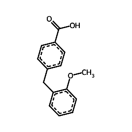 COc1ccccc1Cc1ccc(C(=O)O)cc1